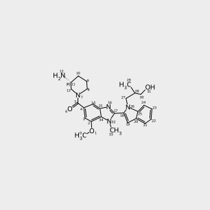 COc1cc(C(=O)N2CCC[C@@H](N)C2)cc2nc(-c3cc4ccccc4n3CC(C)CO)n(C)c12